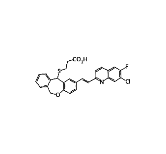 O=C(O)CCSC1c2ccccc2COc2ccc(C=Cc3ccc4cc(F)c(Cl)cc4n3)cc21